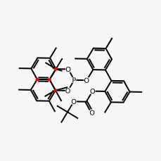 Cc1cc(C)c(OC(=O)OC(C)(C)C)c(-c2cc(C)cc(C)c2OP(Oc2c(C)cc(C)cc2C(C)(C)C)Oc2c(C)cc(C)cc2C(C)(C)C)c1